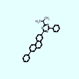 CC(C)c1nc(-c2ccccc2)nc(-c2ccc3c(ccc4cc(-c5ccccc5)ccc43)c2)n1